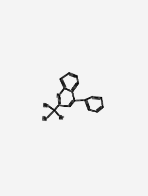 BrC(Br)(Br)c1cc(-c2ccccc2)c2ccccc2n1